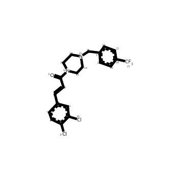 O=C(/C=C/c1ccc(Cl)c(Cl)c1)N1CCN(Cc2ccc(C(F)(F)F)cc2)CC1